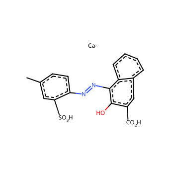 Cc1ccc(N=Nc2c(O)c(C(=O)O)cc3ccccc23)c(S(=O)(=O)O)c1.[Ca]